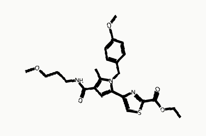 CCOC(=O)c1nc(-c2cc(C(=O)NCCCOC)c(C)n2Cc2ccc(OC)cc2)cs1